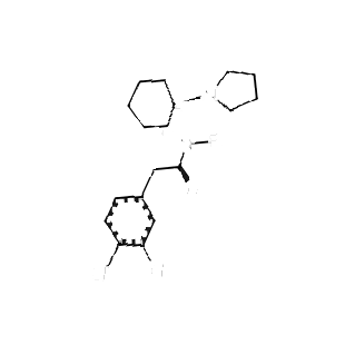 CCN(C(=O)Cc1ccc(Cl)c(Cl)c1)[C@@H]1CCCC[C@H]1N1CCCC1